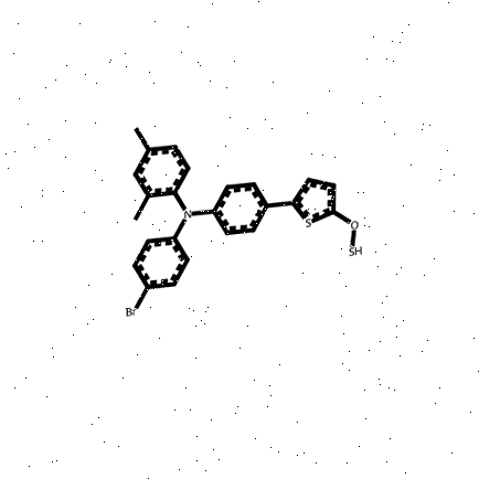 Cc1ccc(N(c2ccc(Br)cc2)c2ccc(-c3ccc(OS)s3)cc2)c(C)c1